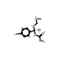 CC[C@](OCOC)(OC(N)=O)c1ccc(F)cc1